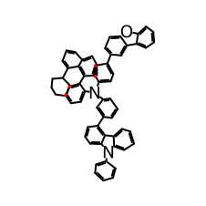 c1ccc(-n2c3ccccc3c3c(-c4cccc(N(c5ccc(-c6ccc7oc8ccccc8c7c6)cc5)c5ccccc5-c5cccc6cccc(C7CCCCC7)c56)c4)cccc32)cc1